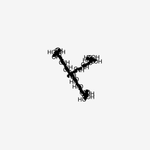 CC(=O)N[C@H]1C(O)[C@@H](O)C(CO)O[C@H]1OCCCCC(=O)NCCCNC(=O)CCOCC(COCCC(=O)NCCCNC(=O)CCCCO[C@@H]1OC(CO)[C@H](O)C(O)[C@@H]1NC(C)=O)(COCCC(=O)NCCCNC(=O)CCCCO[C@@H]1OC(CO)[C@H](O)C(O)[C@@H]1NC(C)=O)NC(C)C